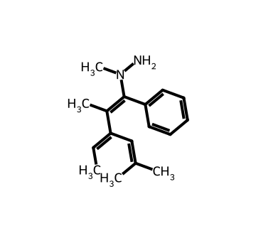 C/C=C(C=C(C)C)/C(C)=C(\c1ccccc1)N(C)N